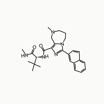 CNC(=O)[C@@H](NC(=O)c1nc(-c2ccc3ccccc3c2)n2c1CN(C)CCC2)C(C)(C)C